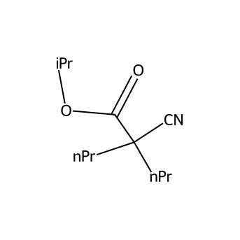 CCCC(C#N)(CCC)C(=O)OC(C)C